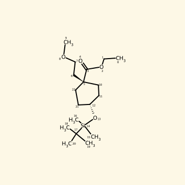 CCOC(=O)[C@]1(CCOC)CC[C@H](O[Si](C)(C)C(C)(C)C)CC1